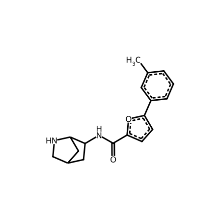 Cc1cccc(-c2ccc(C(=O)NC3CC4CNC3C4)o2)c1